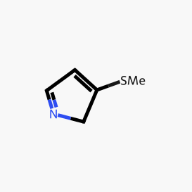 CSC1=CC=NC1